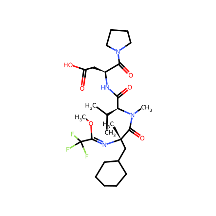 CO/C(=N\[C@@](C)(CC1CCCCC1)C(=O)N(C)[C@H](C(=O)N[C@@H](CC(=O)O)C(=O)N1CCCC1)C(C)C)C(F)(F)F